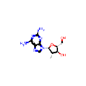 C[C@H]1[C@H](O)[C@@H](CO)O[C@H]1n1cnc2c(N)nc(N)nc21